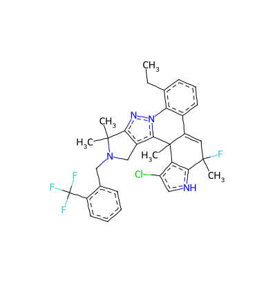 CCc1cccc2c1-n1nc3c(c1C1(C)C2=CC(C)(F)c2[nH]cc(Cl)c21)CN(Cc1ccccc1C(F)(F)F)C3(C)C